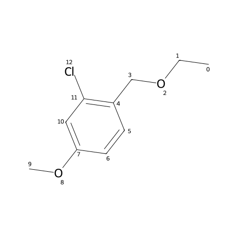 CCOCc1ccc(OC)cc1Cl